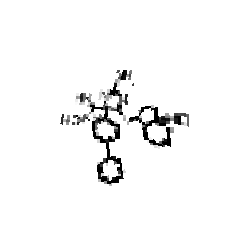 Cl.Cl.N=C(NO)C1(c2ccc(-c3ccccc3)cc2)N=C(N)N=C1N=C1CCc2ccccc21